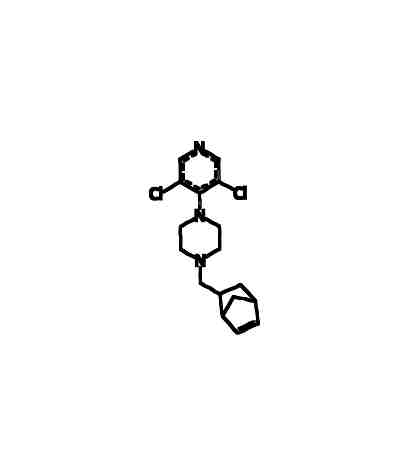 Clc1cncc(Cl)c1N1CCN(CC2CC3C=CC2C3)CC1